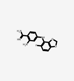 N=C(N)c1ccc(Nc2c(F)ccc3c2OCO3)cc1N